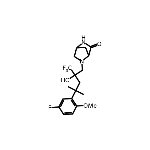 COc1ccc(F)cc1C(C)(C)CC(O)(CN1CC2CC1C(=O)N2)C(F)(F)F